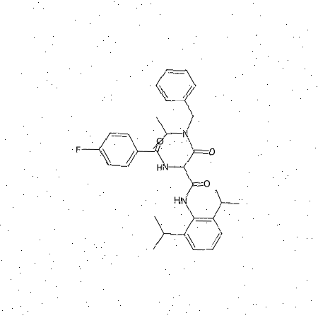 CC(C)c1cccc(C(C)C)c1NC(=O)C(NC(=O)c1ccc(F)cc1)C(=O)N(Cc1ccccc1)C(C)C